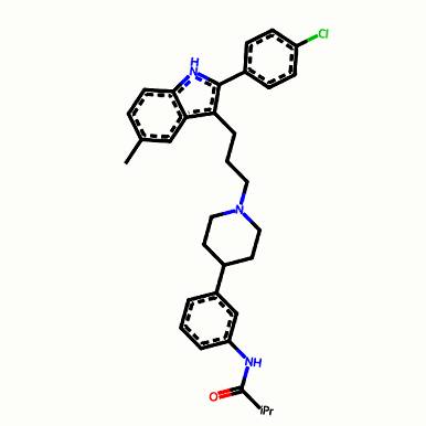 Cc1ccc2[nH]c(-c3ccc(Cl)cc3)c(CCCN3CCC(c4cccc(NC(=O)C(C)C)c4)CC3)c2c1